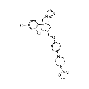 Clc1ccc([C@]2(Cn3ccnc3)OC[C@@H](COc3ccc(N4CCN(C5=NCCO5)CC4)cc3)O2)c(Cl)c1